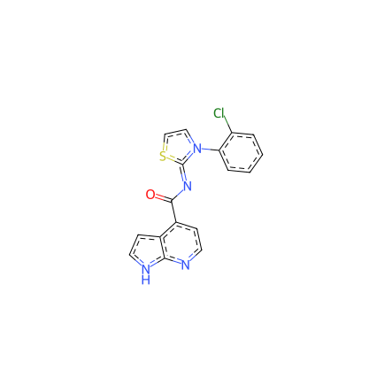 O=C(/N=c1\sccn1-c1ccccc1Cl)c1ccnc2[nH]ccc12